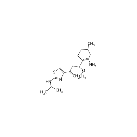 C=C(CC(OC)C1=C(N)CC(C)CC1)c1csc(NC(C)C)n1